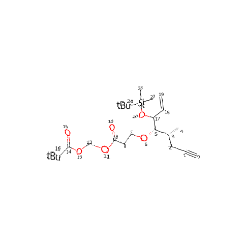 C#CC[C@@H](C)[C@H](OCCC(=O)OCOC(=O)C(C)(C)C)C(C=C)O[Si](C)(C)C(C)(C)C